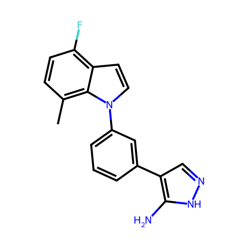 Cc1ccc(F)c2ccn(-c3cccc(-c4cn[nH]c4N)c3)c12